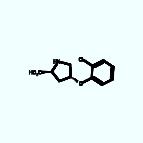 O=C(O)[C@@H]1C[C@@H](Oc2ccccc2Cl)CN1